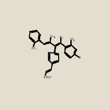 CC/C(=C(\C(C)=C\c1ccccc1C)c1ccc(/C=C/C(=O)O)cc1)c1ccc(F)cc1C(F)(F)F